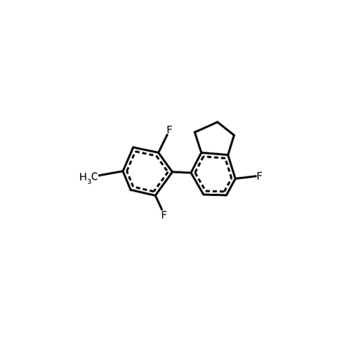 Cc1cc(F)c(-c2ccc(F)c3c2CCC3)c(F)c1